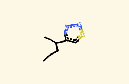 CCC(C)c1csnn1